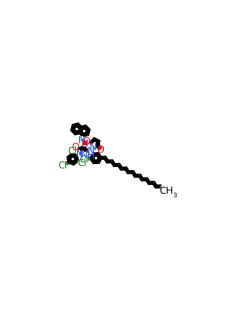 CCCCCCCCCCCCCCCCCCc1ccc(Cl)c(N(c2[nH]n(-c3c(Cl)cc(Cl)cc3Cl)c(=O)c2N=Nc2cccc3ccccc23)N2C(=O)CCC2=O)c1